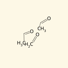 C=O.CC=O.CC=O